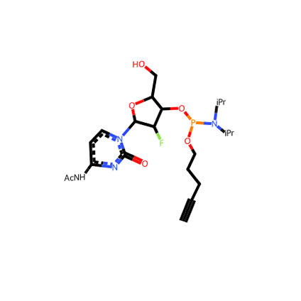 C#CCCCOP(OC1C(CO)OC(n2ccc(NC(C)=O)nc2=O)C1F)N(C(C)C)C(C)C